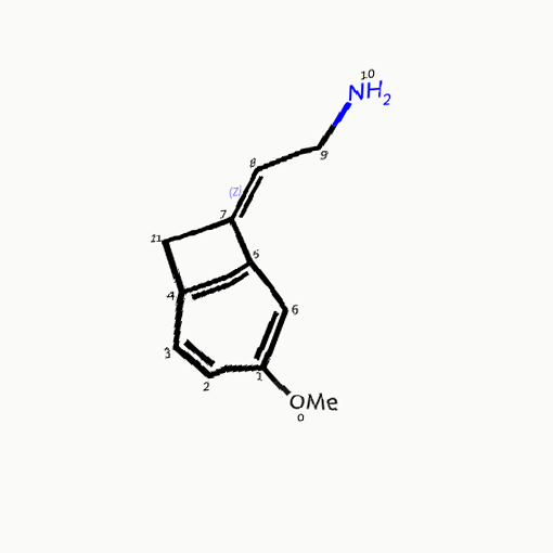 COc1ccc2c(c1)/C(=C\CN)C2